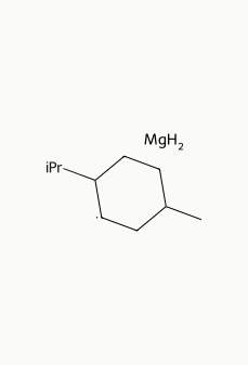 CC1C[CH]C(C(C)C)CC1.[MgH2]